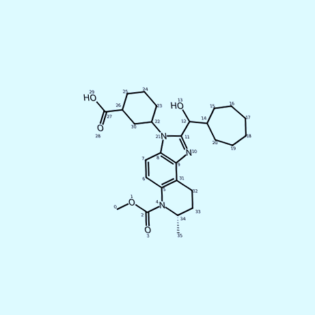 COC(=O)N1c2ccc3c(nc(C(O)C4CCCCCC4)n3C3CCCC(C(=O)O)C3)c2CC[C@@H]1C